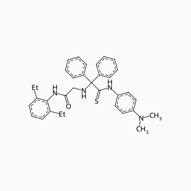 CCc1cccc(CC)c1NC(=O)CNC(C(=S)Nc1ccc(N(C)C)cc1)(c1ccccc1)c1ccccc1